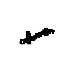 CCCn1ncn(-c2ccc(N3CCN(c4ccc(OC[C@@H]5CO[C@@](Cn6cncn6)(c6ccc(Cl)cc6Cl)O5)cc4)CC3)cc2)c1=O